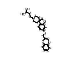 OC(O)CCN1CCC2(CC1)COc1cc(OCC3COc4ccccc4O3)ccc12